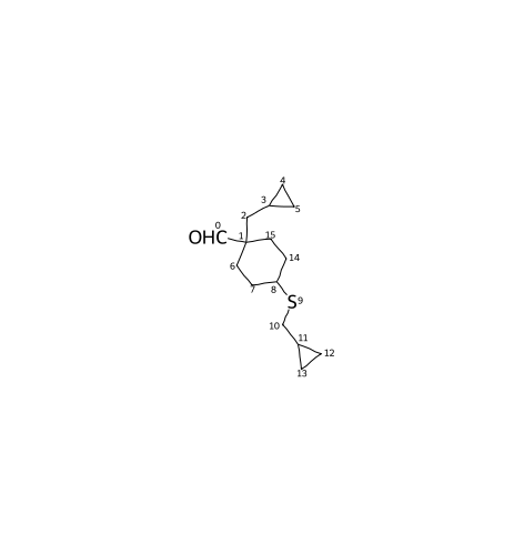 O=CC1(CC2CC2)CCC(SCC2CC2)CC1